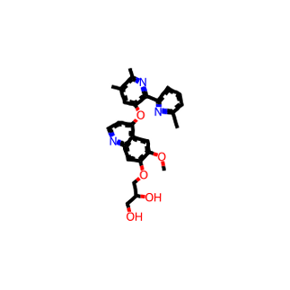 COc1cc2c(Oc3cc(C)c(C)nc3-c3cccc(C)n3)ccnc2cc1OCC(O)CO